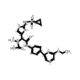 CCOc1cncc(-c2ccc(NC(=O)C(c3csc(NS(=O)(=O)C4CC4)n3)N(C)C(=O)O)cc2)n1